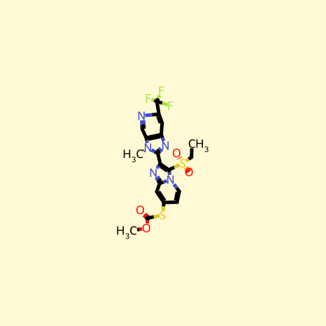 CCS(=O)(=O)c1c(-c2nc3cc(C(F)(F)F)ncc3n2C)nc2cc(SC(=O)OC)ccn12